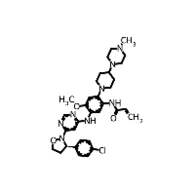 C=CC(=O)Nc1cc(Nc2cc(N3OCC[C@@H]3c3ccc(Cl)cc3)ncn2)c(OC)cc1N1CCC(N2CCN(C)CC2)CC1